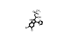 CS(=O)(=O)CC(O)c1[nH]c2cc(Br)c(Cl)cc2c1-c1nccs1